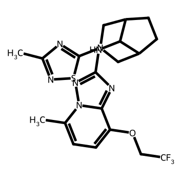 Cc1nsc(N2CC3CCC(C2)C3Nc2nc3c(OCC(F)(F)F)ccc(C)n3n2)n1